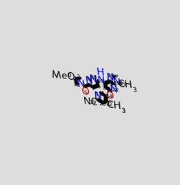 COC1CN(C(=O)c2ccc(Nc3cc(Oc4cnc(C#N)cc4C)nc4c3ncn4C)nn2)C1